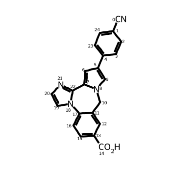 N#Cc1ccc(-c2cc3n(c2)Cc2cc(C(=O)O)ccc2-n2ccnc2-3)cc1